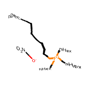 CCCCCCCCCCCCCC[P+](CCCCCC)(CCCCCC)CCCCCC.O=[N+]([O-])[O-]